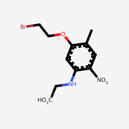 Cc1cc([N+](=O)[O-])c(NCC(=O)O)cc1OCCBr